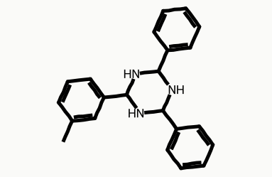 Cc1cccc(C2NC(c3ccccc3)NC(c3ccccc3)N2)c1